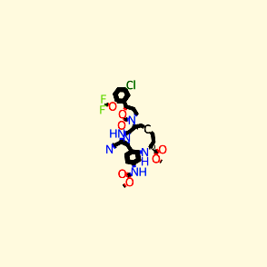 COC(=O)Nc1ccc2c(c1)N[C@@H](C(=O)OC)CCCC[C@H](N1CCC(c3cc(Cl)ccc3OC(F)F)OC1=O)c1nc-2c(C#N)[nH]1